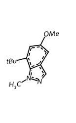 COc1cc(C(C)(C)C)c2c(cnn2C)c1